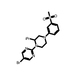 CC(C)C1CN(c2cccc(S(C)(=O)=O)c2)CCN1c1ncc(Br)cn1